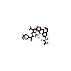 C=C(F)C(=O)Nc1ccc2c(-c3ccccc3CNc3nc(N[C@@H]4CCC(C)(C)NC4)nc4c(C(C)C)cnn34)nccc2c1